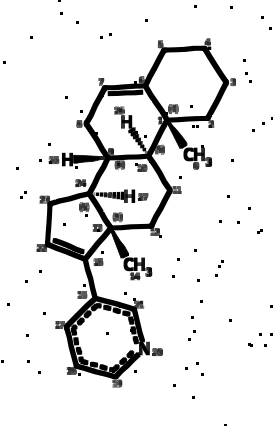 C[C@]12CC[CH]CC1=CC[C@@H]1[C@@H]2CC[C@]2(C)C(c3cccnc3)=CC[C@@H]12